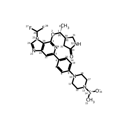 C[C@@H](Oc1nc(-c2ccc(N3CCN([S+](C)[O-])CC3)cc2)cc2ncn(C(F)F)c12)[C@H]1CNC(=O)C1